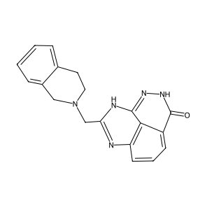 O=c1[nH]nc2c3c(cccc13)N=C(CN1CCc3ccccc3C1)N2